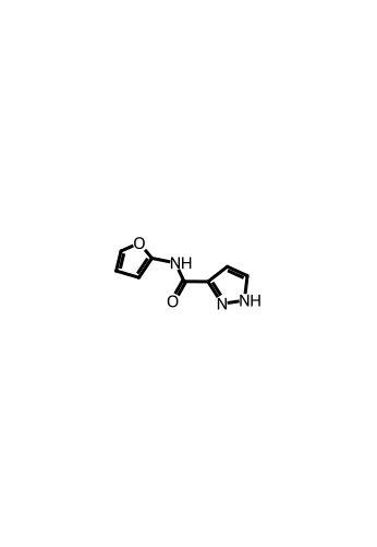 O=C(Nc1ccco1)c1cc[nH]n1